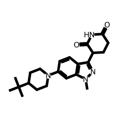 Cn1nc(C2CCC(=O)NC2=O)c2ccc(N3CCC(C(C)(C)C)CC3)cc21